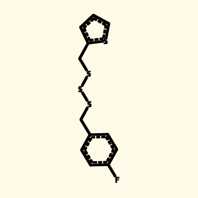 Fc1ccc(CSSSCc2cccs2)cc1